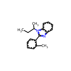 CCC(C)n1c(-c2ccccc2C)nc2ccccc21